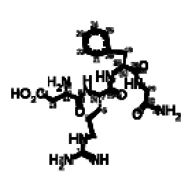 N=C(N)NCCC[C@H](NC(=O)[C@@H](N)CC(=O)O)C(=O)N[C@@H](Cc1ccccc1)C(=O)NCC(N)=O